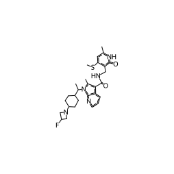 CSc1cc(C)[nH]c(=O)c1CNC(=O)c1c(C)n(C(C)C2CCC(N3CC(F)C3)CC2)c2ncccc12